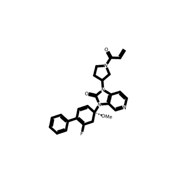 C=CC(=O)N1CCC(n2c(=O)n([C@]3(OC)C=CC(c4ccccc4)=C(F)C3)c3cnccc32)C1